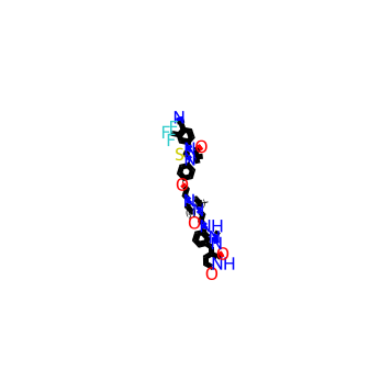 C[C@@H]1CN(CCO[C@H]2CC[C@H](N3C(=S)N(c4ccc(C#N)c(C(F)(F)F)c4)C(=O)C3(C)C)CC2)C[C@H](C)N1CC(=O)Nc1cccc2c(C3CCC(=O)NC3=O)nn(C)c12